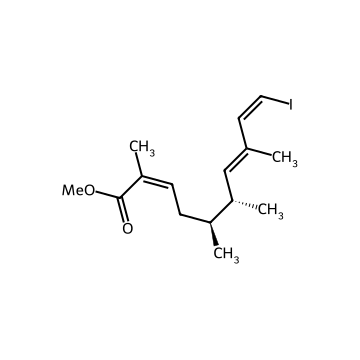 COC(=O)/C(C)=C\C[C@H](C)[C@@H](C)/C=C(C)/C=C\I